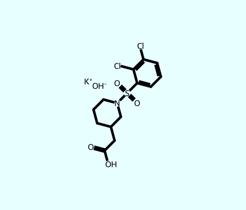 O=C(O)CC1CCCN(S(=O)(=O)c2cccc(Cl)c2Cl)C1.[K+].[OH-]